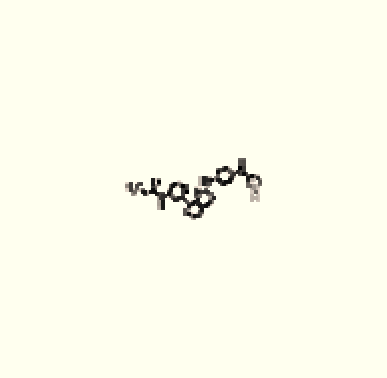 C=CC(=O)Nc1ccnc(-c2nccc3cnc(Nc4ccc(N[C@H]5CCNC5)cc4)nc23)c1